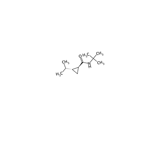 CC(C)[C@H]1C[C@@H]1C(=O)NC(C)(C)C